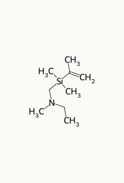 C=C(C)[Si](C)(C)CN(C)CC